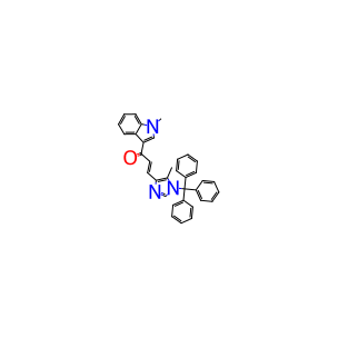 Cc1c(C=CC(=O)c2cn(C)c3ccccc23)ncn1C(c1ccccc1)(c1ccccc1)c1ccccc1